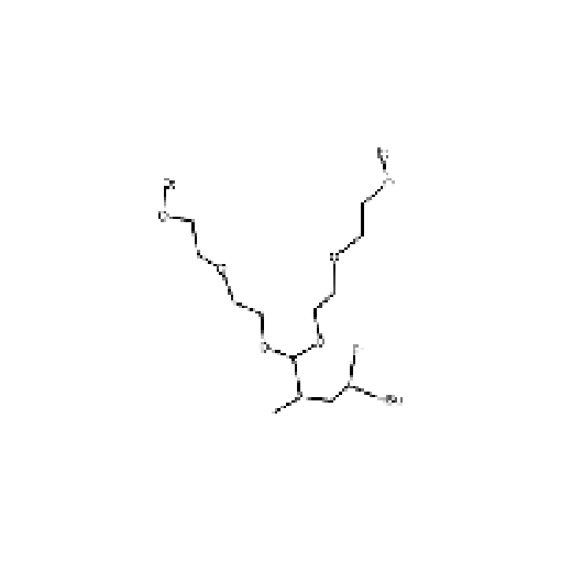 CCCCC(CC)CC(C)C(OCCOCCOCC)OCCOCCOCC